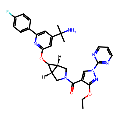 CCOc1nn(-c2ncccn2)cc1C(=O)N1C[C@@H]2C(Oc3cc(C(C)(C)N)cc(-c4ccc(F)cc4)n3)[C@@H]2C1